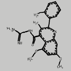 COc1cc(OC)c2c(C(=O)NC(=N)N)c(C)c(-c3ccccc3C)nc2c1